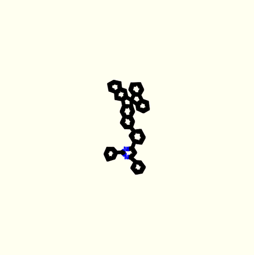 c1ccc(-c2cc(-c3cccc(-c4ccc5cc6c(cc5c4)C4(c5ccccc5-c5ccccc54)c4cc5ccccc5cc4-6)c3)nc(-c3ccccc3)n2)cc1